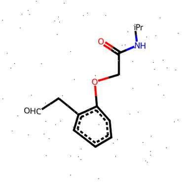 CC(C)NC(=O)COc1ccccc1CC=O